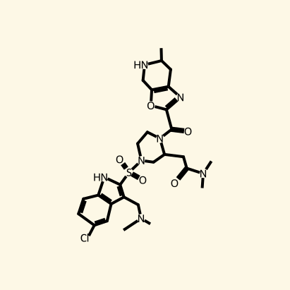 CC1Cc2nc(C(=O)N3CCN(S(=O)(=O)c4[nH]c5ccc(Cl)cc5c4CN(C)C)CC3CC(=O)N(C)C)oc2CN1